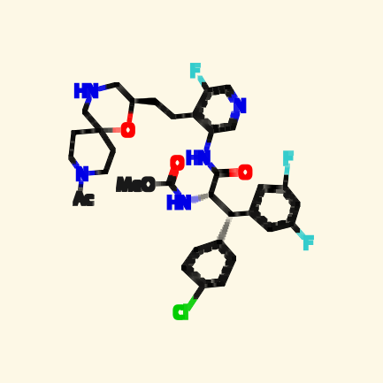 COC(=O)N[C@H](C(=O)Nc1cncc(F)c1CC[C@@H]1CNCC2(CCN(C(C)=O)CC2)O1)[C@@H](c1ccc(Cl)cc1)c1cc(F)cc(F)c1